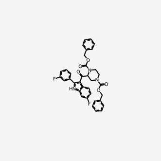 O=C(c1c(-c2cccc(F)c2)[nH]c2cc(F)ccc12)C1CN(C(=O)OCc2ccccc2)CCN1C(=O)OCc1ccccc1